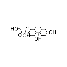 C[C@]12CCC(O)C=C1CCC1C2C(O)C[C@@]2(C)C1CCC2(O)C(=O)CO